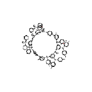 Cc1ccc(N(c2ccc(C)cc2)c2cc3cc(c2)N(c2ccc(C)cc2)c2ccc(C)c(c2)-c2ccc(cc2)P(=O)(c2ccccc2)c2cc(cc(P(=O)(c4ccccc4)c4ccccc4)c2)CC(=O)c2cc(P(=O)(c4ccccc4)c4ccccc4)cc(c2)P(=O)(c2ccccc2)c2ccc(cc2)-c2cc(ccc2C)N(c2ccc(C)cc2)c2cc(cc(N(c4ccc(C)cc4)c4ccc(C)cc4)c2)C3=O)cc1